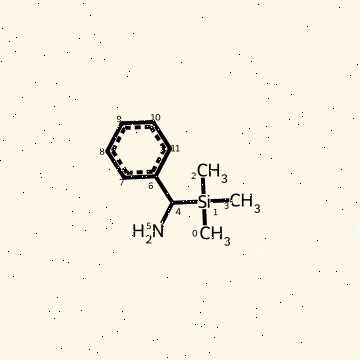 C[Si](C)(C)C(N)c1ccccc1